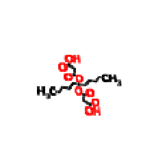 CCCCCC(CCCCC)(OC(=O)CC(=O)O)OC(=O)CC(=O)O